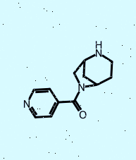 O=C(c1ccncc1)N1CC2CC1CCN2